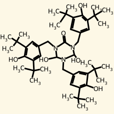 CC(C)(C)c1cc(CN2C(=O)N(Cc3cc(C(C)(C)C)c(O)c(C(C)(C)C)c3)C(O)N(Cc3cc(C(C)(C)C)c(O)c(C(C)(C)C)c3)C2O)cc(C(C)(C)C)c1O